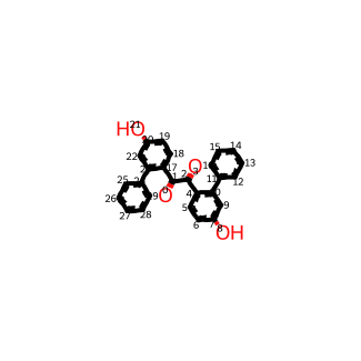 O=C(C(=O)c1ccc(O)cc1-c1ccccc1)c1ccc(O)cc1-c1ccccc1